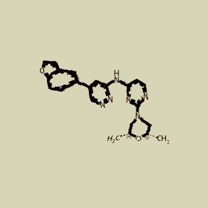 C[C@@H]1CN(c2nccc(Nc3cc(-c4ccc5occc5c4)cnn3)n2)C[C@H](C)O1